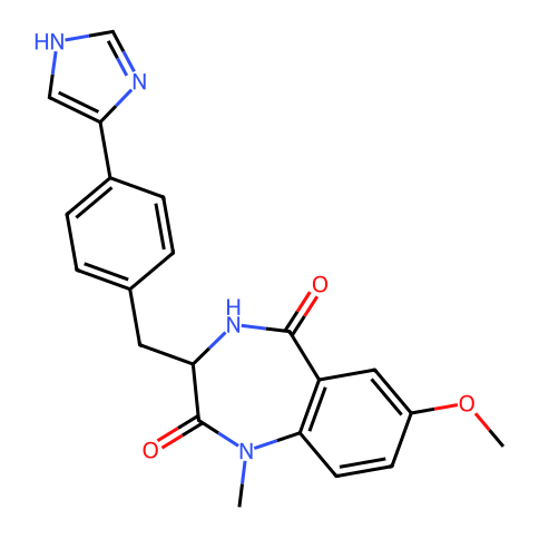 COc1ccc2c(c1)C(=O)NC(Cc1ccc(-c3c[nH]cn3)cc1)C(=O)N2C